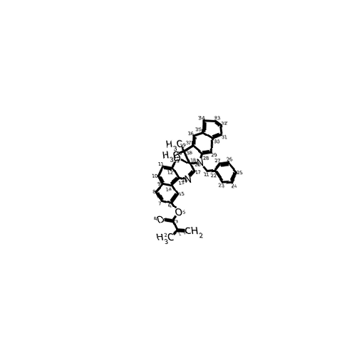 C=C(C)C(=O)Oc1ccc2ccc3c(c2c1)N=CC1(O3)N(Cc2ccccc2)c2cc3ccccc3cc2C1(C)C